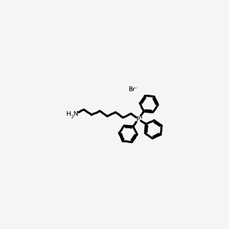 NCCCCCCC[P+](c1ccccc1)(c1ccccc1)c1ccccc1.[Br-]